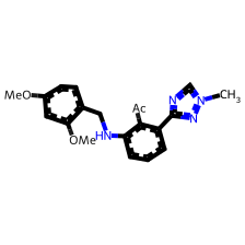 COc1ccc(CNc2cccc(-c3ncn(C)n3)c2C(C)=O)c(OC)c1